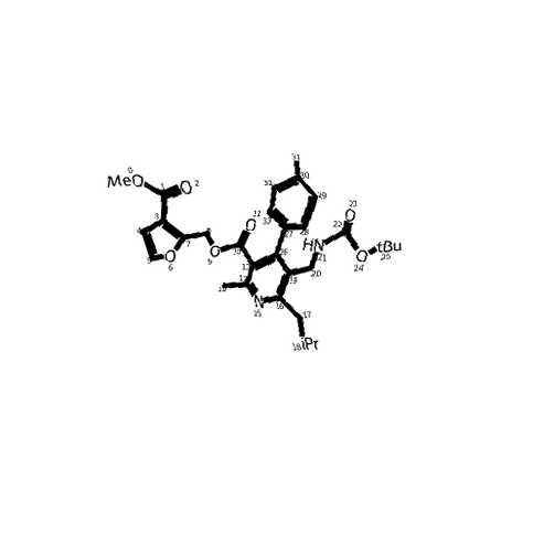 COC(=O)c1ccoc1COC(=O)c1c(C)nc(CC(C)C)c(CNC(=O)OC(C)(C)C)c1-c1ccc(C)cc1